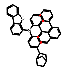 c1ccc(-c2cccc3cccc(-c4ccccc4N(c4ccc(C5CC6CCC5C6)cc4)c4cccc5c4oc4ccccc45)c23)cc1